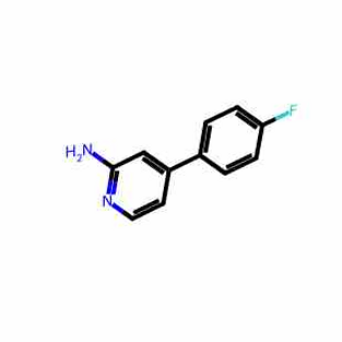 Nc1cc(-c2ccc(F)cc2)ccn1